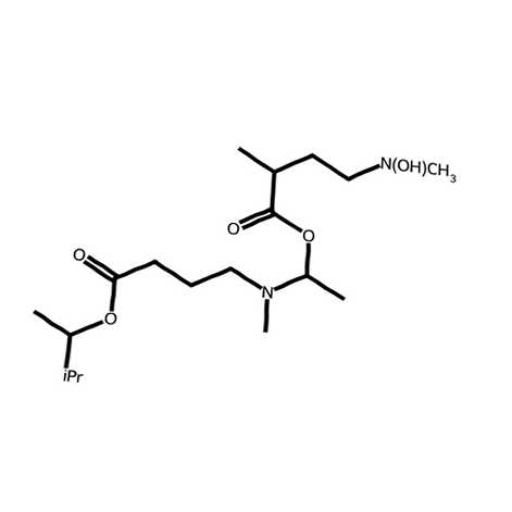 CC(CCN(C)O)C(=O)OC(C)N(C)CCCC(=O)OC(C)C(C)C